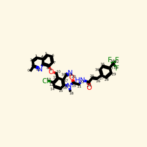 Cc1ccc2cccc(OCc3c(Cl)ccc(N(C)C(=O)CNC(=O)/C=C/c4ccc(C(F)(F)F)cc4)c3C#N)c2n1